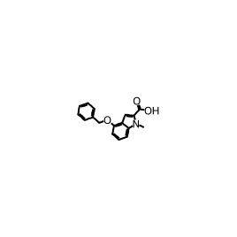 Cn1c(C(=O)O)cc2c(OCc3ccccc3)cccc21